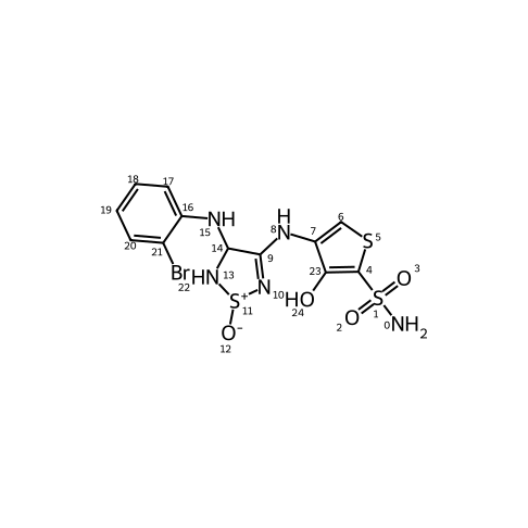 NS(=O)(=O)c1scc(NC2=N[S+]([O-])NC2Nc2ccccc2Br)c1O